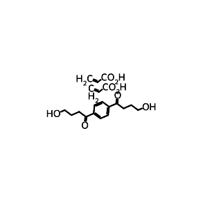 C=CC(=O)O.C=CC(=O)O.O=C(CCCO)c1ccc(C(=O)CCCO)cc1